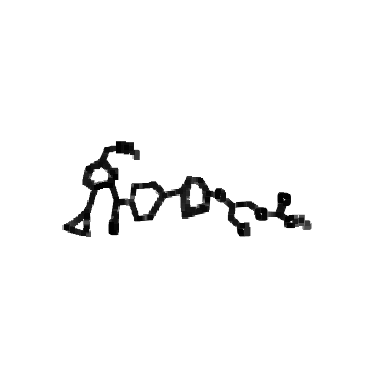 CC(=O)OCC(CCl)Oc1ccc(C2CCC(C(=O)c3nc(CN)ccc3C3CC3)CC2)cc1